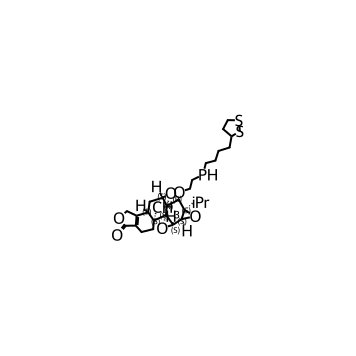 CC(C)[C@]12O[C@H]1[C@@H]1O[C@]13[C@]1(O[C@H]1C[C@H]1C4=C(CC[C@@]13C)C(=O)OC4)[C@@H]2OCCPCCCCC1CCSS1